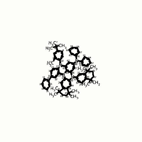 Cc1cc(C(C)(C)C)ccc1N1c2ccc(-c3ccccc3)cc2B2c3cc4c(cc3N(c3ccc5c(c3)C(C)(C)CCC5(C)C)c3cc(N(c5ccccc5)c5ccccc5)cc1c32)C(C)(C)CCC4(C)C